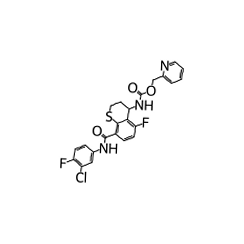 O=C(NC1CCSc2c(C(=O)Nc3ccc(F)c(Cl)c3)ccc(F)c21)OCc1ccccn1